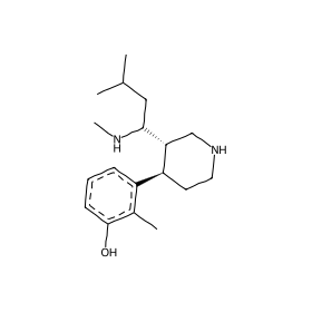 CNC(CC(C)C)[C@@H]1CNCC[C@H]1c1cccc(O)c1C